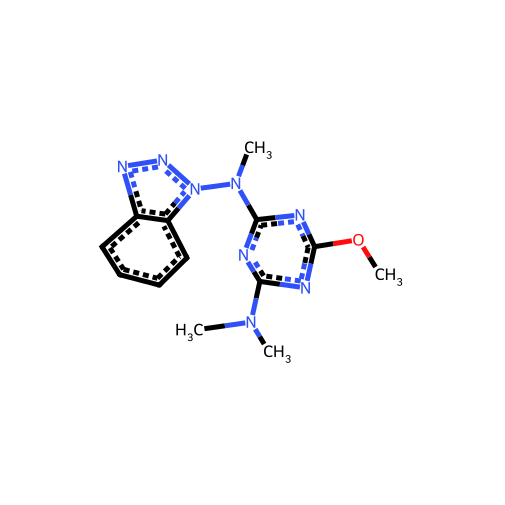 COc1nc(N(C)C)nc(N(C)n2nnc3ccccc32)n1